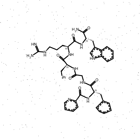 CC(C)C[C@H](NC(=O)CNC(=O)[C@H](Cc1ccccc1)NC(=O)c1ccccn1)C(=O)N[C@@H](CCCNC(=N)N)C(=O)N[C@@H](Cc1c[nH]c2ccccc12)C(N)=O